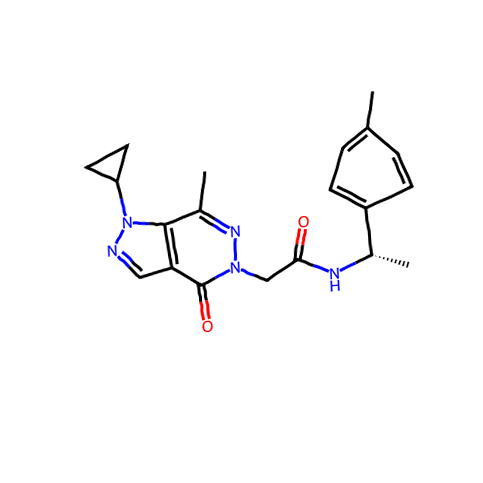 Cc1ccc([C@H](C)NC(=O)Cn2nc(C)c3c(cnn3C3CC3)c2=O)cc1